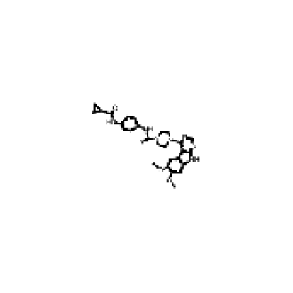 COc1cc2[nH]c3ncnc(N4CCN(C(=S)Nc5ccc(NC(=O)C6CC6)cc5)CC4)c3c2cc1OC